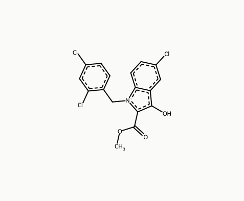 COC(=O)c1c(O)c2cc(Cl)ccc2n1Cc1ccc(Cl)cc1Cl